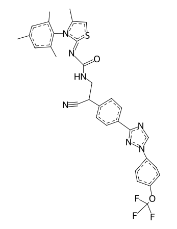 Cc1cc(C)c(-n2c(C)cs/c2=N\C(=O)NCC(C#N)c2ccc(-c3ncn(-c4ccc(OC(F)(F)F)cc4)n3)cc2)c(C)c1